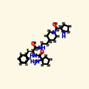 NC1(C(=O)N[C@H](Cc2ccccc2)C(=O)NCCC2CCN(C(=O)[C@H]3CCCN3)CC2)CCCC1